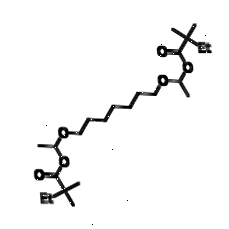 CCC(C)(C)C(=O)OC(C)OCCCCCCCOC(C)OC(=O)C(C)(C)CC